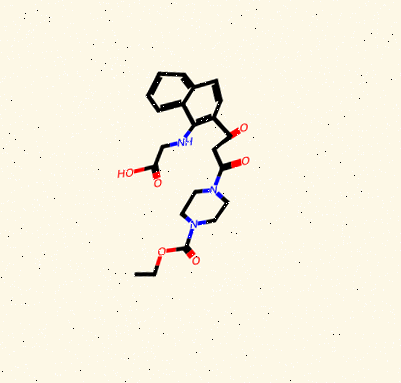 CCOC(=O)N1CCN(C(=O)CC(=O)c2ccc3ccccc3c2NCC(=O)O)CC1